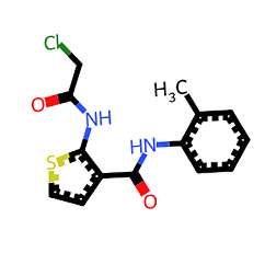 Cc1ccccc1NC(=O)c1ccsc1NC(=O)CCl